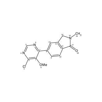 COc1c(Cl)ncnc1-c1ccc2c(c1)CN(C)C2=O